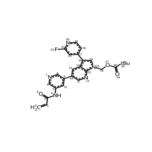 C=CC(=O)Nc1cncc(-c2cnc3c(c2)c(-c2ccnc(F)c2)cn3COC(=O)C(C)(C)C)c1